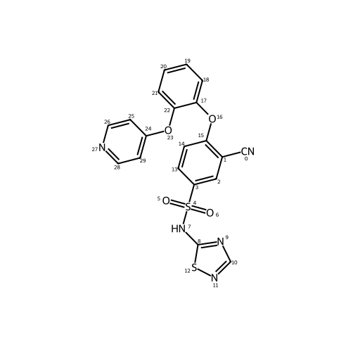 N#Cc1cc(S(=O)(=O)Nc2ncns2)ccc1Oc1ccccc1Oc1ccncc1